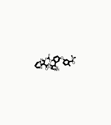 Cc1ccc(Oc2ccc(OC(F)F)c(-c3n[nH]cc3NC(=O)c3cnn4cccnc34)c2)cc1C(=O)N(C)C